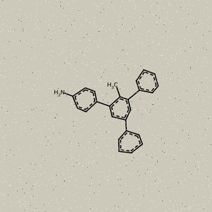 Cc1c(-c2ccccc2)cc(-c2ccccc2)cc1-c1ccc(N)cc1